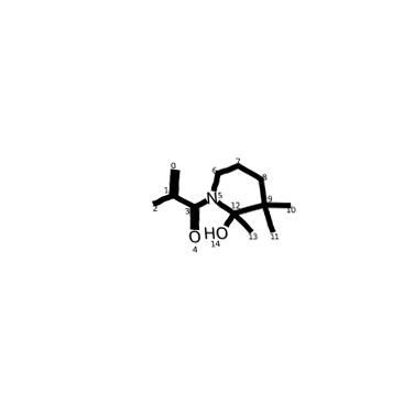 C=C(C)C(=O)N1CCCC(C)(C)C1(C)O